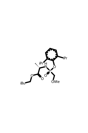 CCC(C)COC(=O)[C@H](C)NP(=O)(COC)Oc1c(C(C)C)cccc1C(C)C